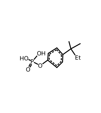 CCC(C)(C)c1ccc(OP(=O)(O)O)cc1